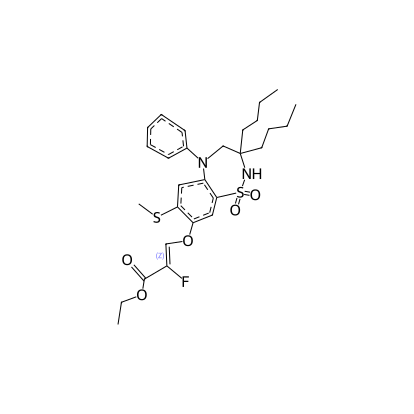 CCCCC1(CCCC)CN(c2ccccc2)c2cc(SC)c(O/C=C(\F)C(=O)OCC)cc2S(=O)(=O)N1